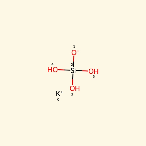 [K+].[O-][Si](O)(O)O